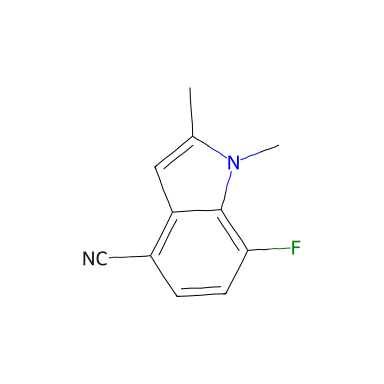 Cc1cc2c(C#N)ccc(F)c2n1C